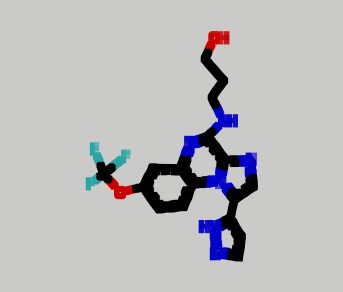 OCCCNc1nc2cc(OC(F)(F)F)ccc2n2c(-c3ccn[nH]3)cnc12